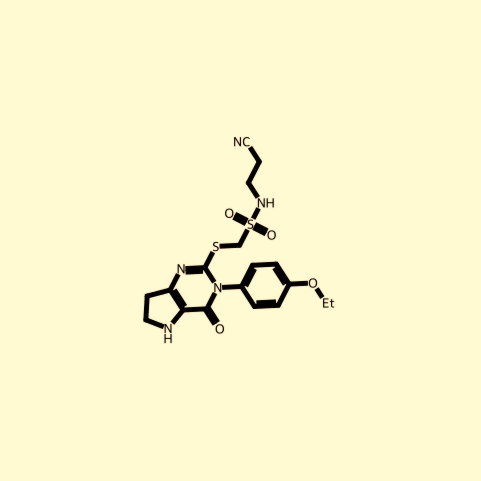 CCOc1ccc(-n2c(SCS(=O)(=O)NCCC#N)nc3c(c2=O)NCC3)cc1